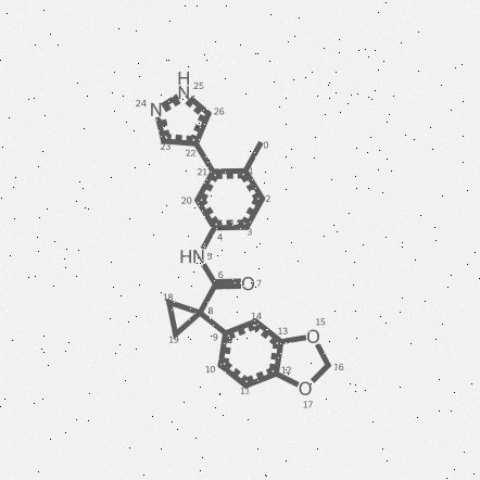 Cc1ccc(NC(=O)C2(c3ccc4c(c3)OCO4)CC2)cc1-c1cn[nH]c1